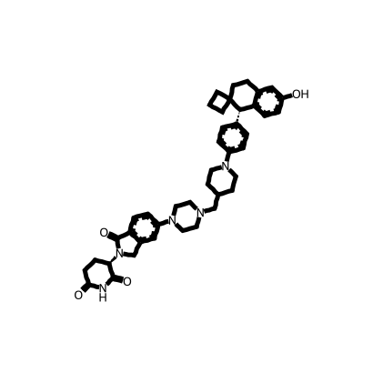 O=C1CC[C@@H](N2Cc3cc(N4CCN(CC5CCN(c6ccc([C@H]7c8ccc(O)cc8CCC78CCC8)cc6)CC5)CC4)ccc3C2=O)C(=O)N1